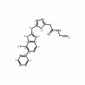 NCNC(=O)Cc1nnc(Cc2nc3ccc(-c4ccccc4)c(F)c3s2)o1